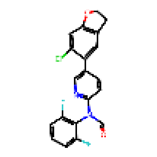 O=CN(c1ccc(-c2cc3c(cc2Cl)OCC3)cn1)c1c(F)cccc1F